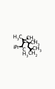 C=C(C)CC(C)S1(C)C(C)C1C(C)C(C)C